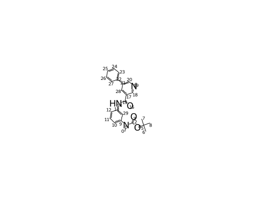 CN(C(=O)OC(C)(C)C)c1cccc(NC(=O)c2cncc(-c3ccccc3)c2)c1